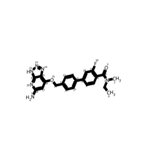 CCN(C)C(=O)c1ccc(-c2ccc(COc3cc(N)nc4[nH]nnc34)cc2)cc1F